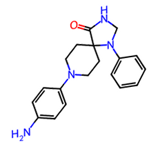 Nc1ccc(N2CCC3(CC2)C(=O)NCN3c2ccccc2)cc1